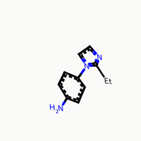 CCc1nccn1-c1ccc(N)cc1